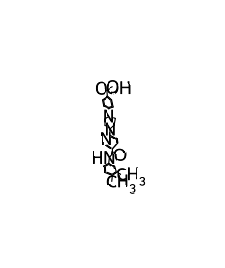 Cc1ccc(NC(=O)c2ccc(N3CCN(c4ccc(C(=O)O)cc4)CC3)nc2)cc1C